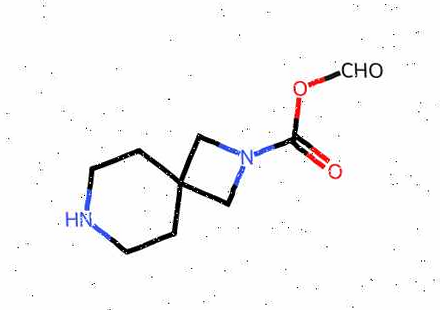 O=COC(=O)N1CC2(CCNCC2)C1